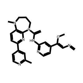 C=N/C=C(\OC)c1ccnc(NC(=C)N2CCCN(C)c3ccc(-c4ccnc(C)c4)nc32)c1